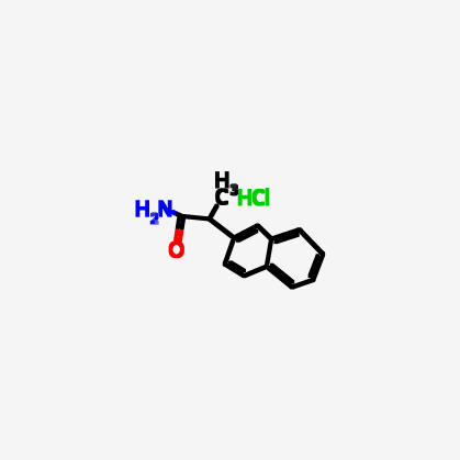 CC(C(N)=O)c1ccc2ccccc2c1.Cl